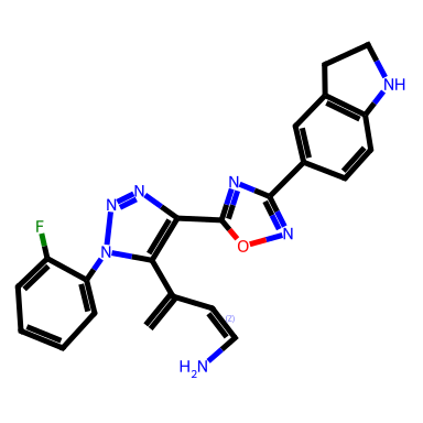 C=C(/C=C\N)c1c(-c2nc(-c3ccc4c(c3)CCN4)no2)nnn1-c1ccccc1F